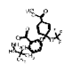 CC(C)(C)NN.Cl.O=C(Cl)C1C=CC(Cl)(OC(F)(F)F)C=C1.O=C(Cl)c1ccccc1